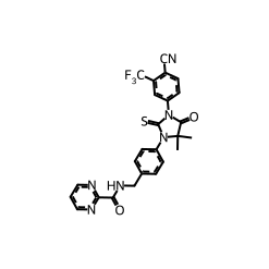 CC1(C)C(=O)N(c2ccc(C#N)c(C(F)(F)F)c2)C(=S)N1c1ccc(CNC(=O)c2ncccn2)cc1